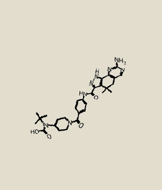 CC1(C)Cc2cnc(N)nc2-c2[nH]nc(C(=O)Nc3ccc(C(=O)N4CCC(N(C(=O)O)C(C)(C)C)CC4)cc3)c21